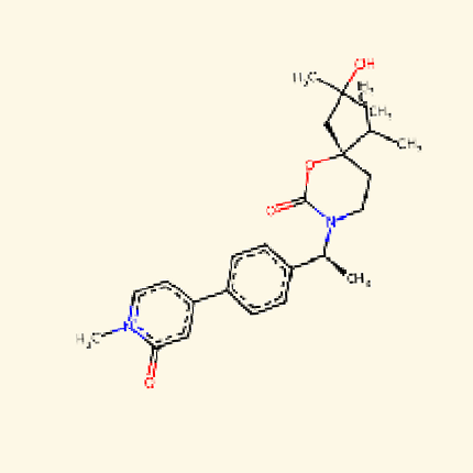 CC(C)[C@]1(CC(C)(C)O)CCN([C@@H](C)c2ccc(-c3ccn(C)c(=O)c3)cc2)C(=O)O1